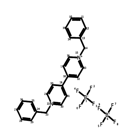 F[B-](F)(F)F.F[B-](F)(F)F.c1ccc(C[n+]2ccc(-c3cc[n+](Cc4ccccc4)cc3)cc2)cc1